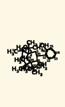 CC(C)(C)C1(C(C)(C)C)CC(c2ccccc2O)C(O)C(C(C)(C)C)(C(C)(C)C)C1